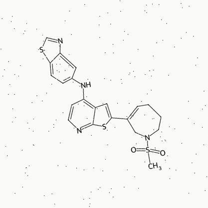 CS(=O)(=O)N1CCCC=C(c2cc3c(Nc4ccc5scnc5c4)ccnc3s2)C1